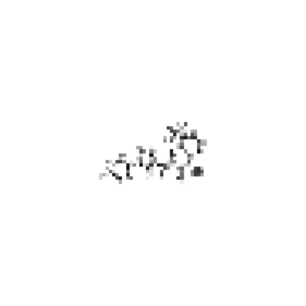 CC[C@H](NC(=O)N1CCc2c1cnn2-c1ccc(F)cc1)c1cccc(S(C)(=O)=O)c1